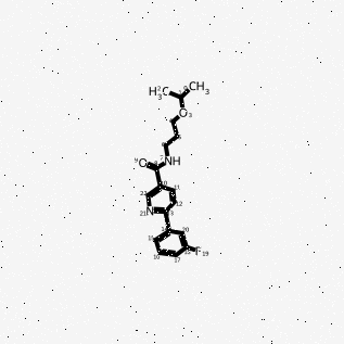 CC(C)OCCCNC(=O)c1ccc(-c2cccc(F)c2)nc1